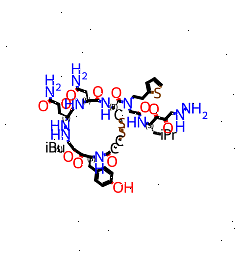 CC[C@H](C)C1NN[C@@H](CCC(N)=O)C(=O)N[C@@H](CC(N)=O)C(=O)N[C@H](C(=O)N(CCc2cccs2)CC(=O)N[C@@H](CC(C)C)C(=O)C(=O)CNN)CSSCCC(=O)N[C@@H](Cc2ccc(O)cc2)C(=O)C1=O